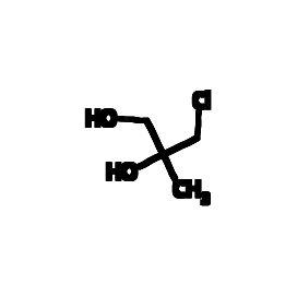 CC(O)(CO)CCl